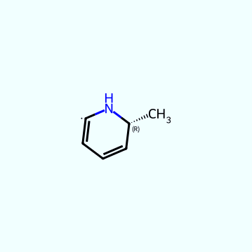 C[C@@H]1C=CC=[C]N1